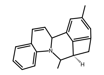 Cc1cc2c3c(c1)C1C=Cc4ccccc4N1C(C)[C@@H]3C2